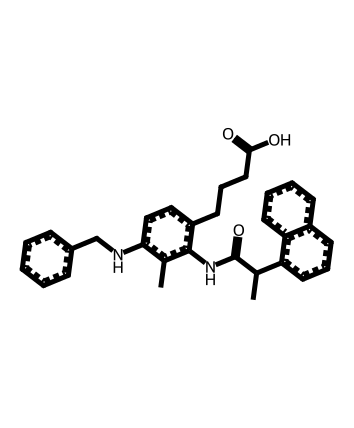 Cc1c(NCc2ccccc2)ccc(CCCC(=O)O)c1NC(=O)C(C)c1cccc2ccccc12